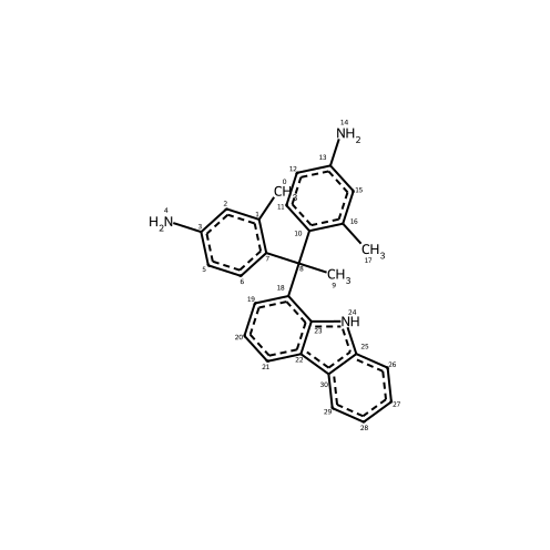 Cc1cc(N)ccc1C(C)(c1ccc(N)cc1C)c1cccc2c1[nH]c1ccccc12